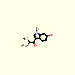 CCn1cc(C(=O)C(C)NC)c2ccc(Br)cc21